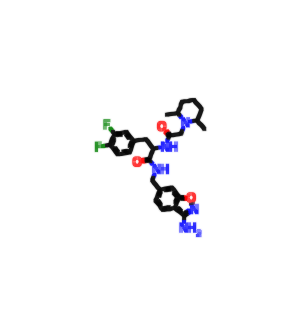 CC1CCCC(C)N1CC(=O)NC(Cc1ccc(F)c(F)c1)C(=O)NCc1ccc2c(N)noc2c1